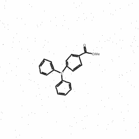 COC(=O)c1ccc([S+](c2ccccc2)c2ccccc2)cc1